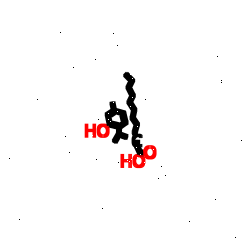 CCCCCCCCCCCC(=O)O.Cc1ccc(C(C)C)c(O)c1